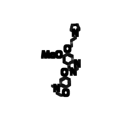 COc1cc2c(Oc3ccc4c(c3)N(C)CCO4)ncnc2cc1OCCCN1CCCC1